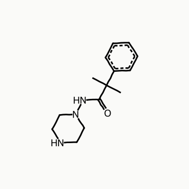 CC(C)(C(=O)NN1CCNCC1)c1ccccc1